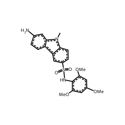 COc1cc(OC)c(NS(=O)(=O)c2ccc3c(c2)c2ccc(N)cc2n3C)c(OC)c1